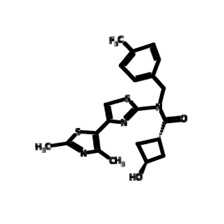 Cc1nc(C)c(-c2csc(N(Cc3ccc(C(F)(F)F)cc3)C(=O)[C@H]3C[C@H](O)C3)n2)s1